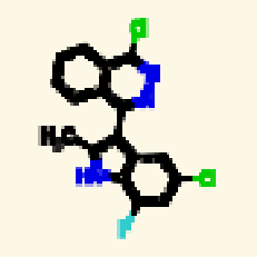 Cc1[nH]c2c(F)cc(Cl)cc2c1-c1nnc(Cl)c2ccccc12